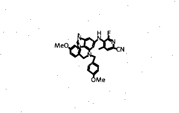 COc1ccc(CN(Cc2ccc(OC)cc2)c2cc(Nc3c(C)cc(C#N)nc3F)cc3c2ncn3C)cc1